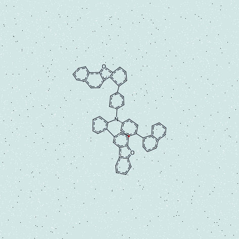 c1ccc(N(c2ccc(-c3cccc4ccccc34)cc2)c2ccc(-c3cccc4oc5c6ccccc6ccc5c34)cc2)c(-c2ccc3oc4ccccc4c3c2)c1